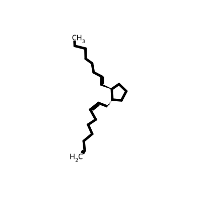 C=CCCCC/C=C\C[C@H]1CCC[C@@H]1/C=C/CCCCCC